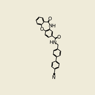 N#Cc1ccc(-c2ccc(CNC(=O)c3ccc4c(c3)NC(=O)c3ccccc3O4)cc2)cc1